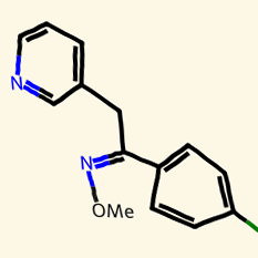 CON=C(Cc1cccnc1)c1ccc(Cl)cc1